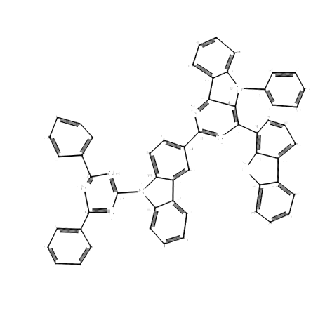 c1ccc(-c2nc(-c3ccccc3)nc(-n3c4ccccc4c4cc(-c5nc(-c6cccc7c6oc6ccccc67)c6c(n5)c5ccccc5n6-c5ccccc5)ccc43)n2)cc1